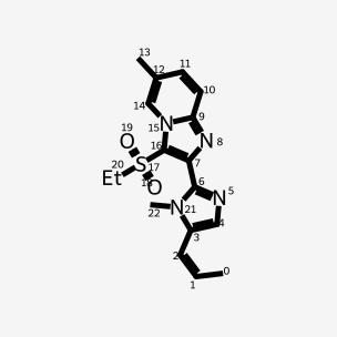 C/C=C\c1cnc(-c2nc3ccc(C)cn3c2S(=O)(=O)CC)n1C